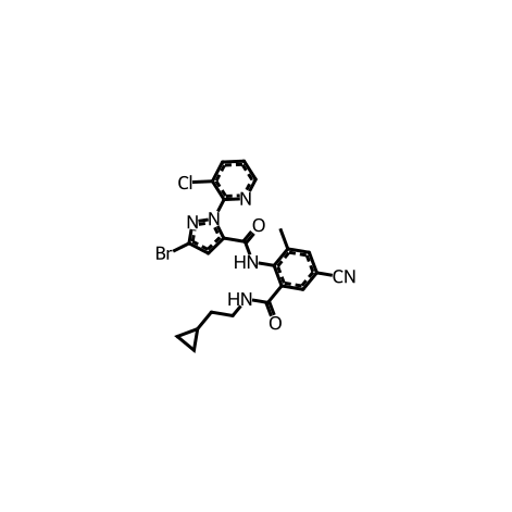 Cc1cc(C#N)cc(C(=O)NCCC2CC2)c1NC(=O)c1cc(Br)nn1-c1ncccc1Cl